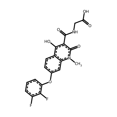 Cn1c(=O)c(C(=O)NCC(=O)O)c(O)c2ccc(Oc3cccc(F)c3F)cc21